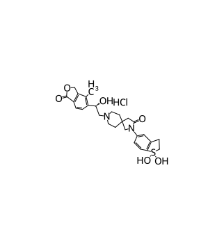 Cc1c([C@@H](O)CN2CCC3(CC2)CC(=O)N(c2ccc4c(c2)CCS4(O)O)C3)ccc2c1COC2=O.Cl